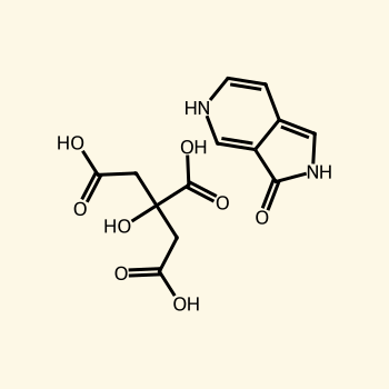 O=C(O)CC(O)(CC(=O)O)C(=O)O.O=c1[nH]cc2cc[nH]cc1-2